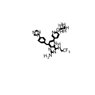 [2H]C([2H])([2H])C([2H])([2H])Oc1ccc(-c2cc(Cc3ccc(-n4cncn4)cc3)c3nc(N)nc(NCC(F)(F)F)c3n2)cn1